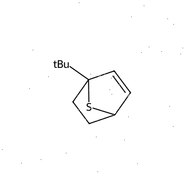 CC(C)(C)C12C=CC(CC1)S2